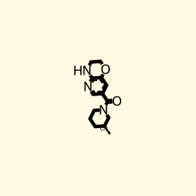 C[C@H]1CCCN(C(=O)c2cnc3c(c2)OCCN3)C1